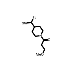 CCC(C1CCN(C(=O)CCOC)CC1)C(C)(C)C